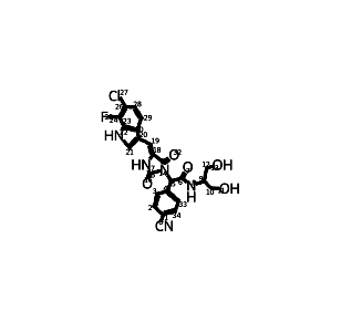 N#Cc1ccc(C(C(=O)NC(CO)CO)N2C(=O)NC(=Cc3c[nH]c4c(F)c(Cl)ccc34)C2=O)cc1